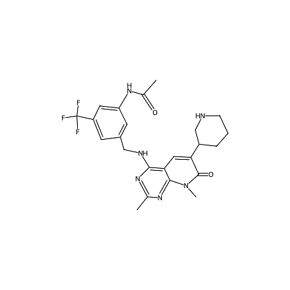 CC(=O)Nc1cc(CNc2nc(C)nc3c2cc(C2CCCNC2)c(=O)n3C)cc(C(F)(F)F)c1